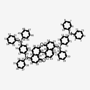 c1ccc(N(c2ccccc2)c2ccc(N(c3ccccc3)c3ccc4oc5ccc6c(N(c7ccccc7)c7ccc(N(c8ccccc8)c8ccccc8)cc7)ccc7oc8ccc3c4c8-c5c76)cc2)cc1